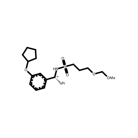 CCC[C@@H](NS(=O)(=O)CCCOCOC)c1cccc(OC2CCCC2)c1